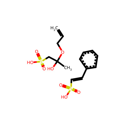 C=CCOC(C)(O)CS(=O)(=O)O.O=S(=O)(O)C=Cc1ccccc1